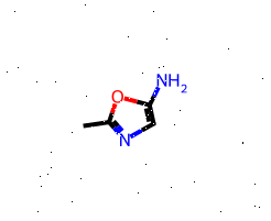 Cc1ncc(N)o1